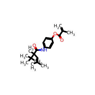 C=C(C)C(=O)Oc1ccc(NC(=O)C(C)(C=C(C)C)C(C)(C)C)cc1